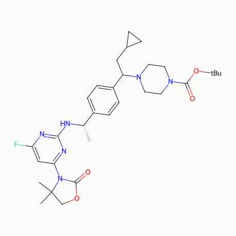 C[C@H](Nc1nc(F)cc(N2C(=O)OCC2(C)C)n1)c1ccc(C(CC2CC2)N2CCN(C(=O)OC(C)(C)C)CC2)cc1